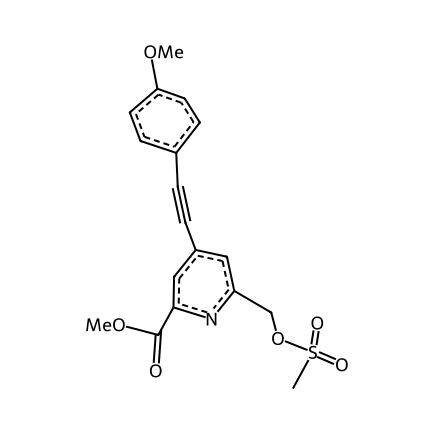 COC(=O)c1cc(C#Cc2ccc(OC)cc2)cc(COS(C)(=O)=O)n1